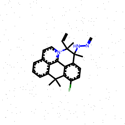 C=CC1(C)[n+]2ccc3cccc4c3c2-c2c(ccc(F)c2C4(C)C)C1(C)NN=C